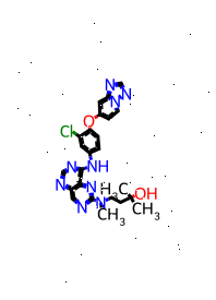 CN(CCC(C)(C)O)c1ncc2ncnc(Nc3ccc(Oc4ccn5ncnc5c4)c(Cl)c3)c2n1